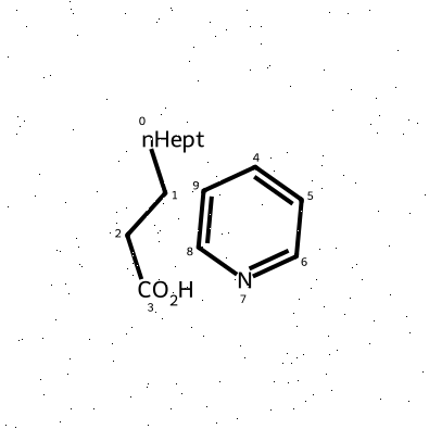 CCCCCCCCCC(=O)O.c1ccncc1